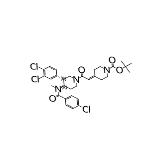 CN(C(=O)c1ccc(Cl)cc1)[C@@H]1CCN(C(=O)C=C2CCN(C(=O)OC(C)(C)C)CC2)C[C@H]1c1ccc(Cl)c(Cl)c1